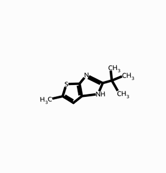 Cc1cc2[nH]c(C(C)(C)C)nc2s1